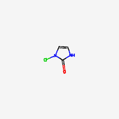 O=c1[nH]ccn1Cl